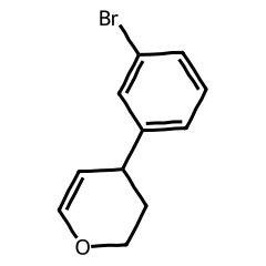 Brc1cccc(C2C=COCC2)c1